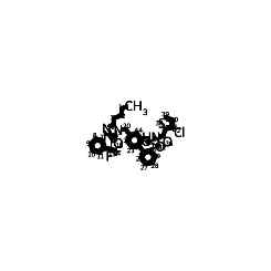 CCCCc1nn(-c2ccccc2C(F)(F)F)c(=O)n1Cc1ccc(-c2ccccc2S(=O)(=O)NC(=O)c2sccc2Cl)cc1